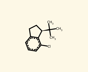 CC(C)(C)[C@@H]1CCc2cccc(Cl)c21